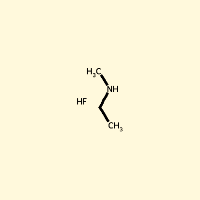 CCNC.F